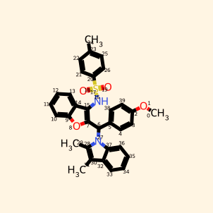 COc1ccc(C(c2oc3ccccc3c2NS(=O)(=O)c2ccc(C)cc2)n2c(C)c(C)c3ccccc32)cc1